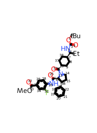 CCC(NC(=O)OC(C)(C)C)[C@H]1CC[C@H](C(=O)N2CC[C@H](c3ccccc3)[C@H]2C(=O)Nc2ccc(C(=O)OC)cc2F)CC1